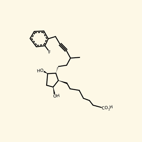 CC(C#CCc1ccccc1F)CC[C@@H]1[C@@H](CCCCCCC(=O)O)[C@@H](O)C[C@H]1O